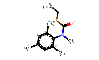 Cc1cc(C)c(N(C)C(=O)SCC(=O)O)c(C)c1